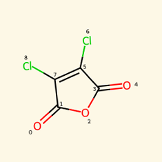 O=C1OC(=O)C(Cl)=C1Cl